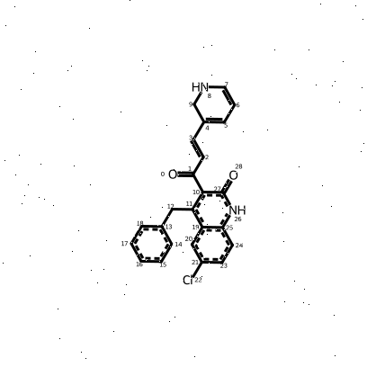 O=C(/C=C/C1=CC=CNC1)c1c(Cc2ccccc2)c2cc(Cl)ccc2[nH]c1=O